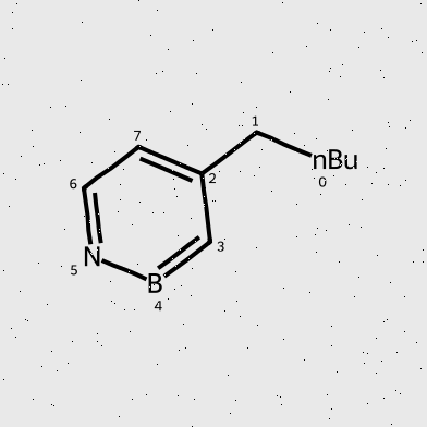 CCCCCc1cbncc1